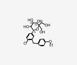 CCOc1ccc(Cc2cc([C@@H]3OC(CO)(CO)[C@@H](O)[C@H](O)[C@H]3O)ccc2Cl)cc1